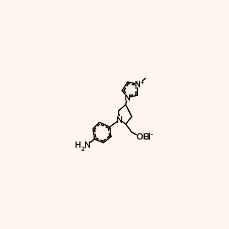 C[n+]1ccn(C2CC(CO)N(c3ccc(N)cc3)C2)c1.[Cl-]